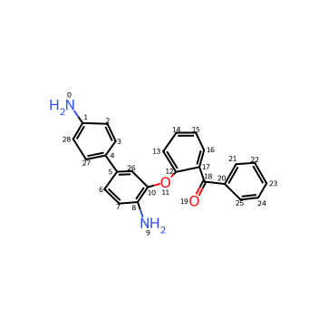 Nc1ccc(-c2ccc(N)c(Oc3ccccc3C(=O)c3ccccc3)c2)cc1